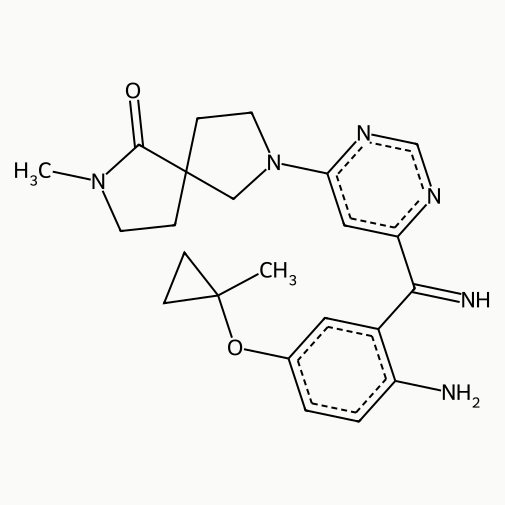 CN1CCC2(CCN(c3cc(C(=N)c4cc(OC5(C)CC5)ccc4N)ncn3)C2)C1=O